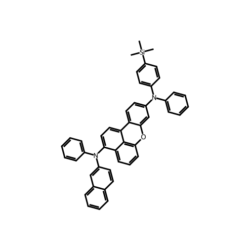 C[Si](C)(C)c1ccc(N(c2ccccc2)c2ccc3c(c2)Oc2cccc4c(N(c5ccccc5)c5ccc6ccccc6c5)ccc-3c24)cc1